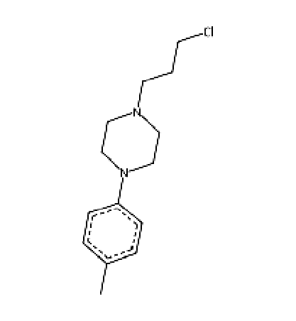 Cc1ccc(N2CCN(CCCCl)CC2)cc1